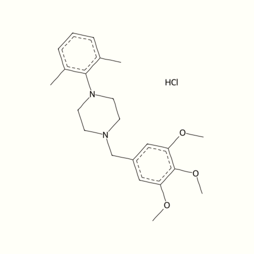 COc1cc(CN2CCN(c3c(C)cccc3C)CC2)cc(OC)c1OC.Cl